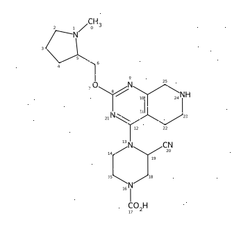 CN1CCCC1COc1nc2c(c(N3CCN(C(=O)O)CC3C#N)n1)CCNC2